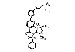 C[C@H]1CC(C)(C)N2c3nc(-n4ccc(OCCC5(C(F)(F)F)CC5)n4)ccc3C(=O)N(S(=O)(=O)c3ccccc3)C12